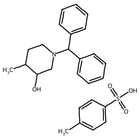 CC1CCN(C(c2ccccc2)c2ccccc2)CC1O.Cc1ccc(S(=O)(=O)O)cc1